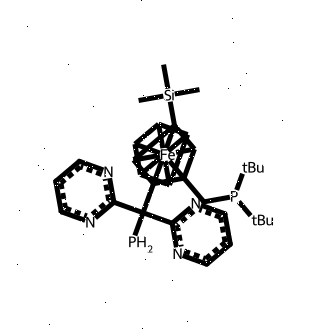 CC(C)(C)P(C[C]12[CH]3[C]4([Si](C)(C)C)[CH]5[C]1(C(P)(c1ncccn1)c1ncccn1)[Fe]35241678[CH]2[CH]1[CH]6[CH]7[CH]28)C(C)(C)C